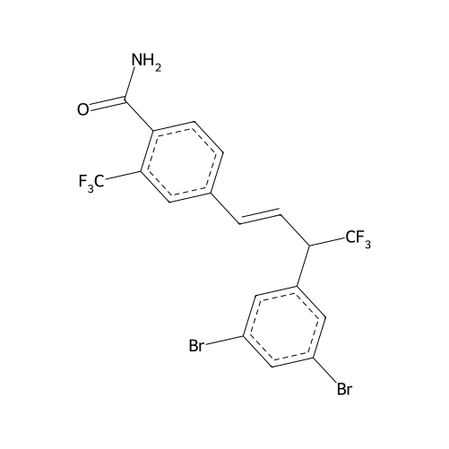 NC(=O)c1ccc(/C=C/C(c2cc(Br)cc(Br)c2)C(F)(F)F)cc1C(F)(F)F